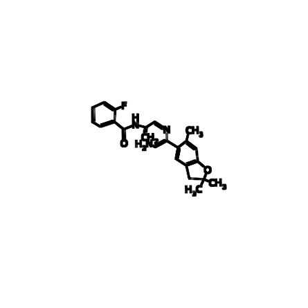 C=C(/C=N\C(=C/N)c1cc2c(cc1C)OC(C)(C)C2)NC(=O)c1ccccc1F